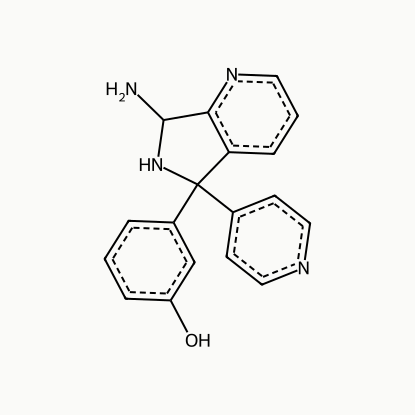 NC1NC(c2ccncc2)(c2cccc(O)c2)c2cccnc21